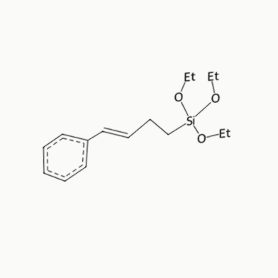 CCO[Si](CCC=Cc1ccccc1)(OCC)OCC